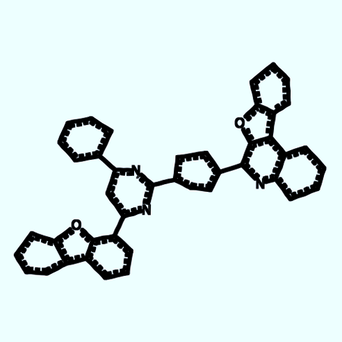 c1ccc(-c2cc(-c3cccc4c3oc3ccccc34)nc(-c3ccc(-c4nc5ccccc5c5c4oc4ccccc45)cc3)n2)cc1